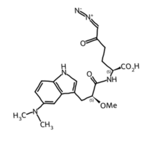 CO[C@@H](Cc1c[nH]c2ccc(N(C)C)cc12)C(=O)N[C@@H](CCC(=O)C=[N+]=[N-])C(=O)O